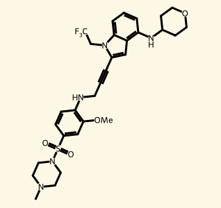 COc1cc(S(=O)(=O)N2CCN(C)CC2)ccc1NCC#Cc1cc2c(NC3CCOCC3)cccc2n1CC(F)(F)F